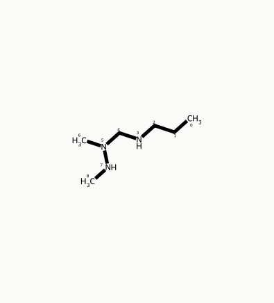 CCCNCN(C)NC